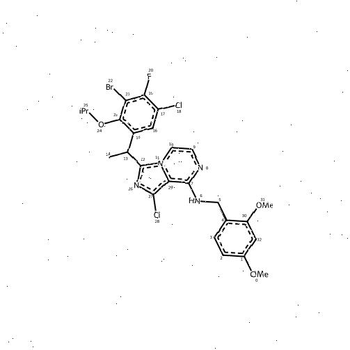 COc1ccc(CNc2nccn3c(C(C)c4cc(Cl)c(F)c(Br)c4OC(C)C)nc(Cl)c23)c(OC)c1